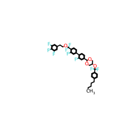 CCCCCc1ccc(C(F)(F)OC2COC(c3ccc(-c4ccc(C(F)(F)OCCc5cc(F)c(F)c(F)c5)c(F)c4)c(F)c3)OC2)cc1